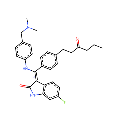 CCCC(=O)CCc1ccc(/C(Nc2ccc(CN(C)C)cc2)=C2/C(=O)Nc3cc(F)ccc32)cc1